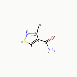 Cc1nscc1C(N)=O